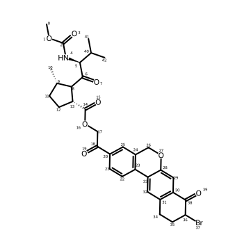 COC(=O)N[C@H](C(=O)C1[C@@H](C)CC[C@H]1C(=O)OCC(=O)c1ccc2c(c1)COc1cc3c(cc1-2)CCC(Br)C3=O)C(C)C